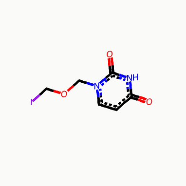 O=c1ccn(COCI)c(=O)[nH]1